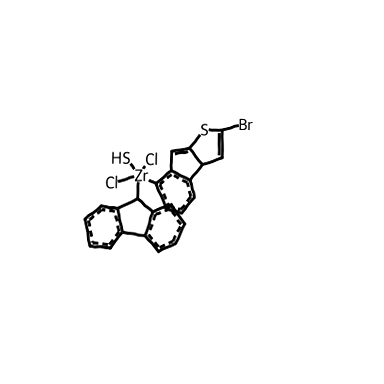 [SH][Zr]([Cl])([Cl])([c]1cccc2c1C=C1SC(Br)=CC12)[CH]1c2ccccc2-c2ccccc21